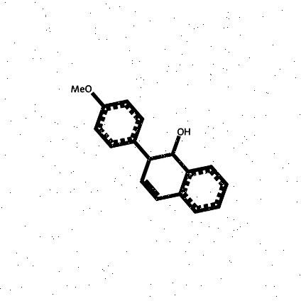 COc1ccc(C2C=Cc3ccccc3C2O)cc1